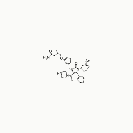 CC(=O)N1CCCC(n2c(-c3ccccc3)c(C(=O)N3CCNCC3)n(Cc3cccc(OCC(C)CC(N)=O)c3)c2=O)C1